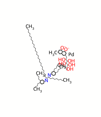 CCCCCCCCCCCCCCCCCCCCCCCCCCC=CC(=Nc1ccc(CCCC)c(CCCC)c1)C(CCCCCCCC)=Nc1ccc(CCCC)c(CCCC)c1.Cc1cc([O-])c2c([O-])cc(CC(O)C(O)C(O)C(O)CO)cc2c1.[Pd]